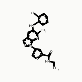 C=CNC(=O)c1cc(-n2ncc3cc(Nc4ccccc4Cl)c(C)nc32)cs1